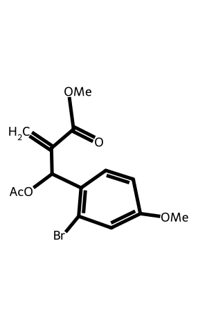 C=C(C(=O)OC)C(OC(C)=O)c1ccc(OC)cc1Br